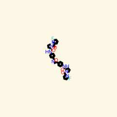 O=C(Nc1ccc(-c2cnc(-c3ccc(NC(=O)[C@@H]4CCCN4C(=O)c4cccc(F)n4)cc3)o2)cc1)[C@@H]1CCCN1C(=O)c1cccc(F)n1